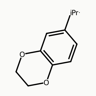 C[C](C)c1ccc2c(c1)OCCO2